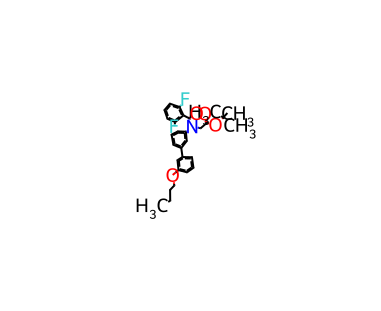 CCCCOc1cccc(-c2cccc(N(CC(=O)OC(C)(C)C)C(=O)c3c(F)cccc3F)c2)c1